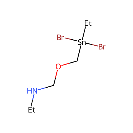 CCNCO[CH2][Sn]([Br])([Br])[CH2]C